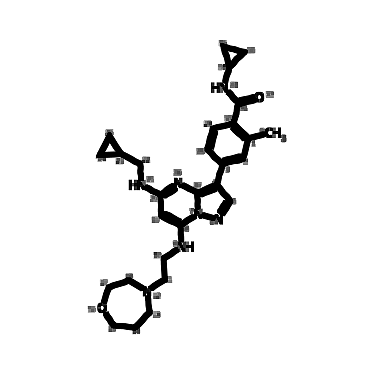 Cc1cc(-c2cnn3c(NCCN4CCCOCC4)cc(NCC4CC4)nc23)ccc1C(=O)NC1CC1